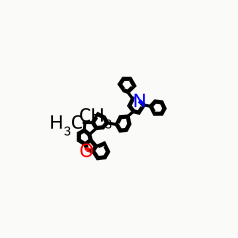 CC1(C)c2ccc(-c3cccc(-c4cc(-c5ccccc5)nc(-c5ccccc5)c4)c3)cc2-c2c1ccc1oc3ccccc3c21